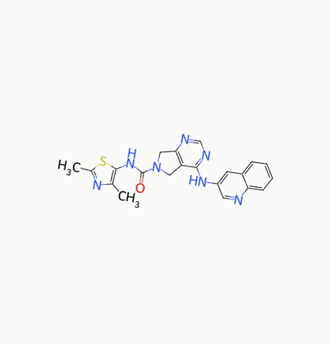 Cc1nc(C)c(NC(=O)N2Cc3ncnc(Nc4cnc5ccccc5c4)c3C2)s1